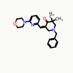 CC1(C)CN(Cc2ccccc2)CC(=Cc2cccc(N3CCOCC3)n2)C1=O